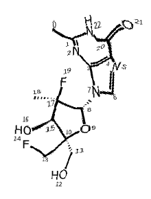 Cc1nc2c(ncn2[C@@H]2O[C@@](CO)(CF)[C@@H](O)[C@@]2(C)F)c(=O)[nH]1